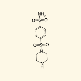 NS(=O)(=O)c1ccc(S(=O)(=O)N2CCNCC2)cc1